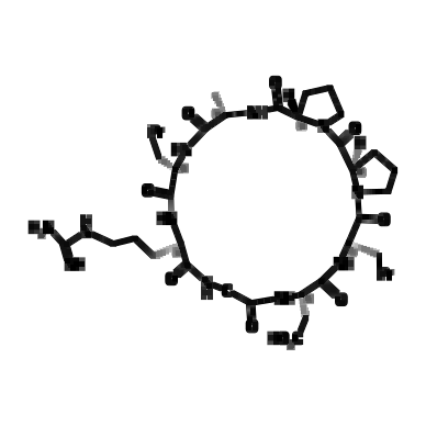 CC(C)C[C@@H]1NC(=O)[C@H](C)NC(=O)[C@@H]2CCCN2C(=O)[C@H]2CCCN2C(=O)[C@H](CC(C)C)NC(=O)[C@H](CC(=O)O)NC(=O)CNC(=O)[C@H](CCCNC(=N)N)NC1=O